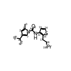 Cc1cc(C(F)F)cn1C(=O)Nc1ccsc1CCC(C)C